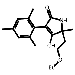 CCOCCC1(C)NC(=O)C(c2c(C)cc(C)cc2C)=C1O